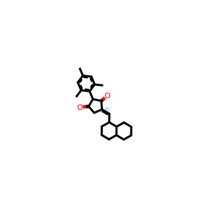 Cc1cc(C)c(C2C(=O)C/C(=C\C3CCCC4CCCCC34)C2=O)c(C)c1